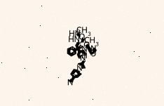 CCC[C@H](CC(CNC(=O)c1cocn1)(c1ccccc1)C1CCN(CC2CN(c3ccc(C#N)cc3)C2)CC1)NC(=O)NC